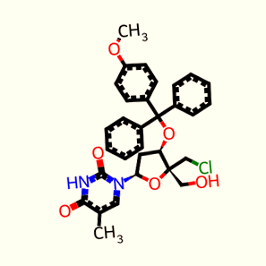 COc1ccc(C(O[C@@H]2C[C@H](n3cc(C)c(=O)[nH]c3=O)O[C@@]2(CO)CCl)(c2ccccc2)c2ccccc2)cc1